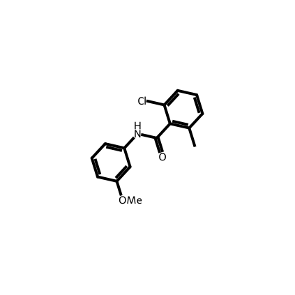 COc1cccc(NC(=O)c2c(C)cccc2Cl)c1